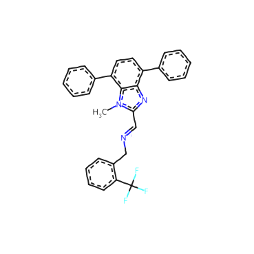 Cn1c(/C=N/Cc2ccccc2C(F)(F)F)nc2c(-c3ccccc3)ccc(-c3ccccc3)c21